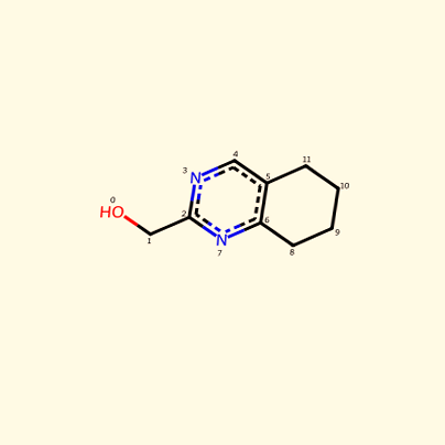 OCc1ncc2c(n1)CCCC2